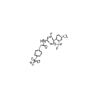 CS(=O)(=O)c1ccc(CC(=O)Nc2ccc(-c3ccc(Cl)cc3C(F)(F)F)c(F)c2)cc1